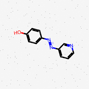 Oc1ccc(/N=N/c2cccnc2)cc1